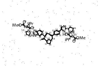 C=C1/C(c2ccc3nc([C@@H]4CC[C@H](C)N4C(=O)[C@@H](NC(=O)OC)C(C)C)[nH]c3c2)=C\C=C(\c2ccc(-c3cnc([C@@H]4CC[C@H](C)N4C(=O)[C@@H](NC(=O)OC)C(C)C)[nH]3)cc2)CC2CCC1C2